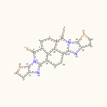 S=c1c2ccc3c(=S)n4c(nc5ccsc54)c4ccc(c2c34)c2nc3ccsc3n12